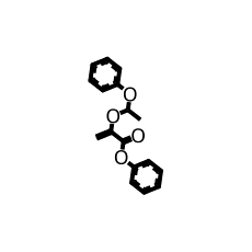 C=C(OC(C)Oc1ccccc1)C(=O)Oc1ccccc1